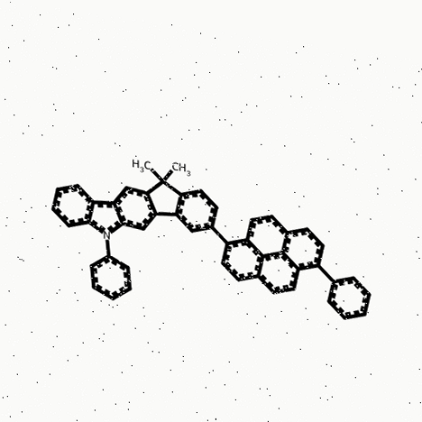 CC1(C)c2ccc(-c3ccc4ccc5c(-c6ccccc6)ccc6ccc3c4c65)cc2-c2cc3c(cc21)c1ccccc1n3-c1ccccc1